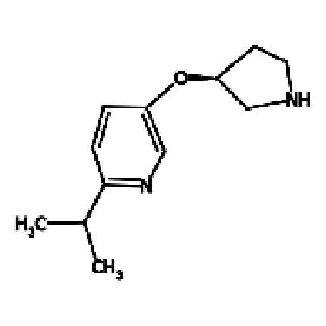 CC(C)c1ccc(O[C@H]2CCNC2)cn1